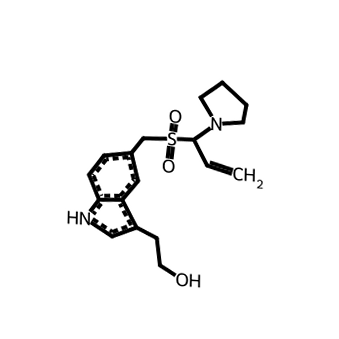 C=CC(N1CCCC1)S(=O)(=O)Cc1ccc2[nH]cc(CCO)c2c1